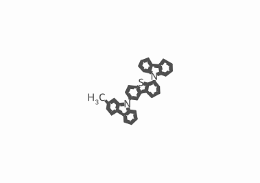 Cc1ccc2c3ccccc3n(-c3ccc4sc5c(-n6c7ccccc7c7ccccc76)cccc5c4c3)c2c1